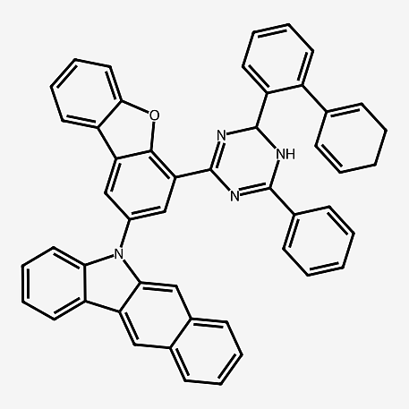 C1=CC(c2ccccc2C2N=C(c3cc(-n4c5ccccc5c5cc6ccccc6cc54)cc4c3oc3ccccc34)N=C(c3ccccc3)N2)=CCC1